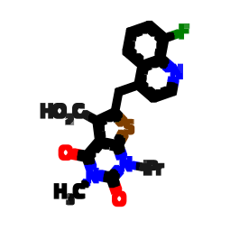 CC(C)n1c(=O)n(C)c(=O)c2c(C(=O)O)c(Cc3ccnc4c(F)cccc34)sc21